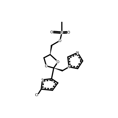 CS(=O)(=O)OC[C@@H]1CO[C@@](Cn2ccnc2)(c2ccc(Cl)s2)O1